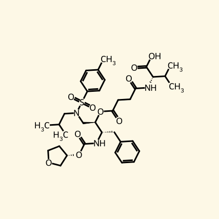 Cc1ccc(S(=O)(=O)N(CC(C)C)C[C@@H](OC(=O)CCC(=O)N[C@H](C(=O)O)C(C)C)[C@H](Cc2ccccc2)NC(=O)O[C@H]2CCOC2)cc1